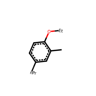 CCCc1ccc(OCC)c(C)c1